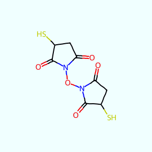 O=C1CC(S)C(=O)N1ON1C(=O)CC(S)C1=O